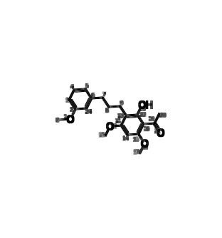 COc1cccc(CCCc2c(OC)cc(OC)c(C(C)=O)c2O)c1